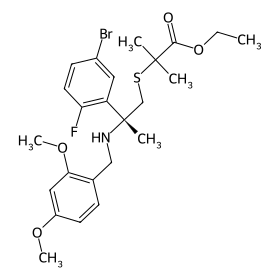 CCOC(=O)C(C)(C)SC[C@](C)(NCc1ccc(OC)cc1OC)c1cc(Br)ccc1F